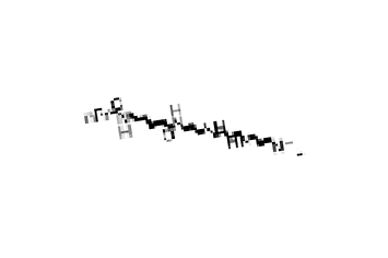 CCCC(=O)NCCCCCC(=O)NCCCNCCCCNCCCN